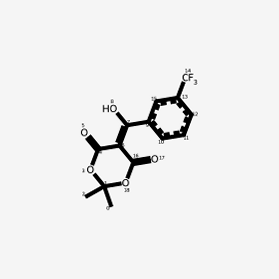 CC1(C)OC(=O)C(=C(O)c2cccc(C(F)(F)F)c2)C(=O)O1